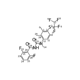 Cc1c(SC(F)(F)C(F)F)ccc(N(C)C(=O)NC(=O)c2c(F)cccc2F)c1C